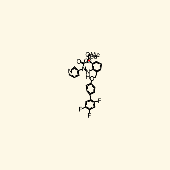 COC(=O)c1cccc(COc2ccc(-c3cc(F)c(F)cc3F)cc2)c1NN(C(=O)OC(C)(C)C)c1cccnc1